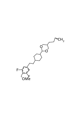 C=CCCC1COC(C2CCC(CCc3cc(F)c(COC)c(F)c3)CC2)OC1